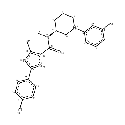 Cc1cccc(N2CCC[C@H](N(C)C(=O)c3sc(-c4ccc(Cl)cc4)nc3C)C2)c1